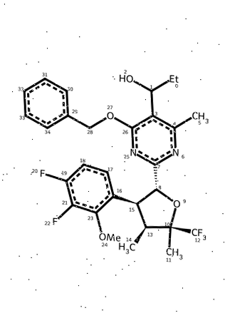 CCC(O)c1c(C)nc([C@@H]2O[C@@](C)(C(F)(F)F)[C@@H](C)[C@H]2c2ccc(F)c(F)c2OC)nc1OCc1ccccc1